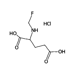 Cl.O=C(O)CCC(NCF)C(=O)O